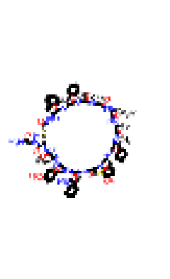 CCCC[C@H]1C(=O)N(C)CC(=O)N[C@@H](CC(=O)O)C(=O)N[C@@H](C(C)C)C(=O)N(C)[C@@H](Cc2ccccc2)C(=O)N[C@@H](Cc2ccc(O)cc2)C(=O)N2CSC[C@@H]2C(=O)N[C@@H](Cc2c[nH]c3ccccc23)C(=O)N[C@@H](Cc2ccc(O)cc2)C(=O)N[C@@H](CC(C)C)C(=O)N[C@H](C(=O)NCC(N)=O)CSCC(=O)N[C@@H](Cc2ccccc2)C(=O)N(C)[C@@H](Cc2ccccc2)C(=O)N1C